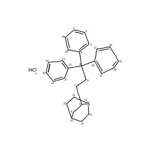 Cl.c1ccc(C(CCC2CC3CCN2CC3)(c2ccccc2)c2ccccc2)cc1